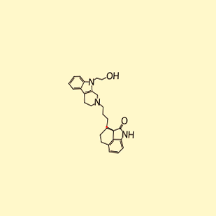 O=C1Nc2cccc3c2C1(CCCCN1CCc2c(n(CCO)c4ccccc24)C1)CCC3